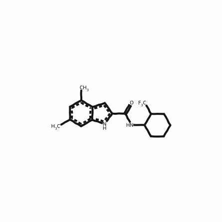 Cc1cc(C)c2cc(C(=O)NC3CCCCC3C(F)(F)F)[nH]c2c1